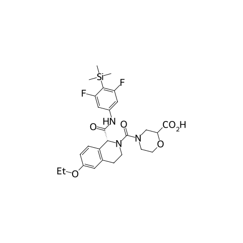 CCOc1ccc2c(c1)CCN(C(=O)N1CCOC(C(=O)O)C1)[C@H]2C(=O)Nc1cc(F)c([Si](C)(C)C)c(F)c1